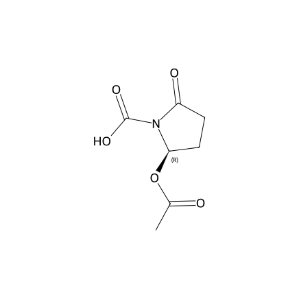 CC(=O)O[C@@H]1CCC(=O)N1C(=O)O